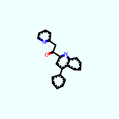 O=C(Cc1ccccn1)c1cc(-c2ccccc2)c2ccccc2n1